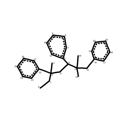 CCC(C)(CC(c1ccccc1)C(C)(C)Cc1ccccc1)c1ccccc1